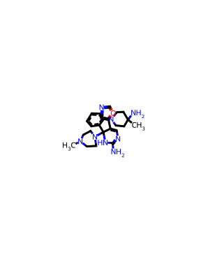 CN1CCN(C2(c3ccccc3N3CCC(C)(N)CC3)NC(N)=NC=C2c2cnco2)CC1